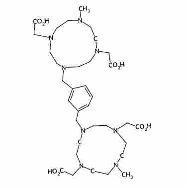 CN1CCN(CC(=O)O)CCN(Cc2cccc(CN3CCN(CC(=O)O)CCN(C)CCN(CC(=O)O)CC3)c2)CCN(CC(=O)O)CC1